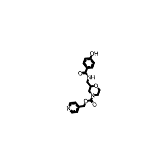 O=C(NCC1CN(C(=O)OCc2ccncc2)CCO1)c1ccc(O)cc1